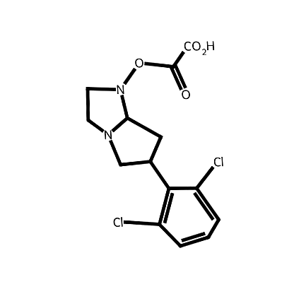 O=C(O)C(=O)ON1CCN2CC(c3c(Cl)cccc3Cl)CC21